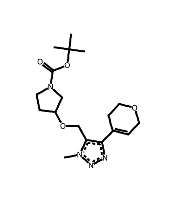 Cn1nnc(C2=CCOCC2)c1COC1CCN(C(=O)OC(C)(C)C)C1